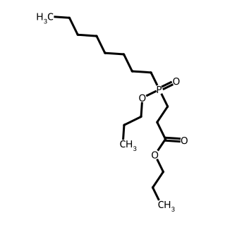 CCCCCCCCP(=O)(CCC(=O)OCCC)OCCC